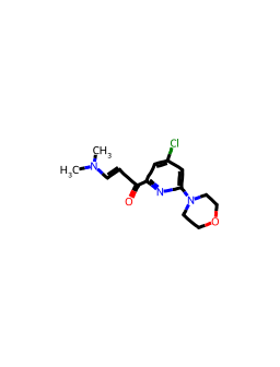 CN(C)/C=C/C(=O)c1cc(Cl)cc(N2CCOCC2)n1